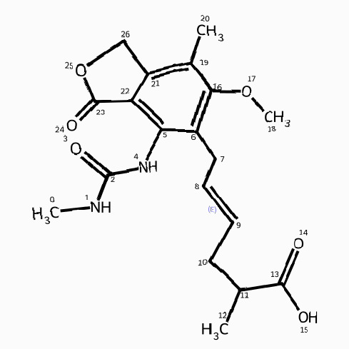 CNC(=O)Nc1c(C/C=C/CC(C)C(=O)O)c(OC)c(C)c2c1C(=O)OC2